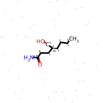 CCCC[C@H](CO)CCC(N)=O